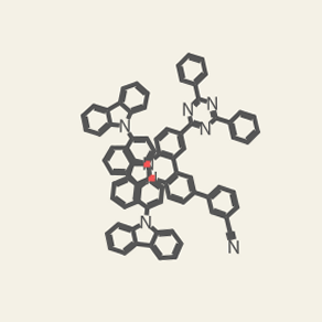 N#Cc1cccc(-c2ccc(-n3c4ccccc4c4cc(-n5c6ccccc6c6ccccc65)ccc43)c(-c3cc(-c4nc(-c5ccccc5)nc(-c5ccccc5)n4)ccc3-n3c4ccccc4c4cc(-n5c6ccccc6c6ccccc65)ccc43)c2)c1